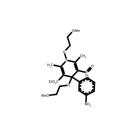 CCOC(=O)C1=C(C)N(OCCOC)C(C)=C([PH2]=O)C1(OCCOC)c1cccc([N+](=O)[O-])c1